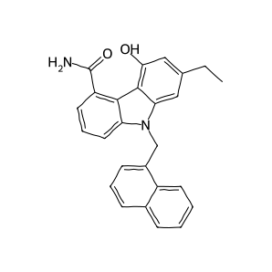 CCc1cc(O)c2c3c(C(N)=O)cccc3n(Cc3cccc4ccccc34)c2c1